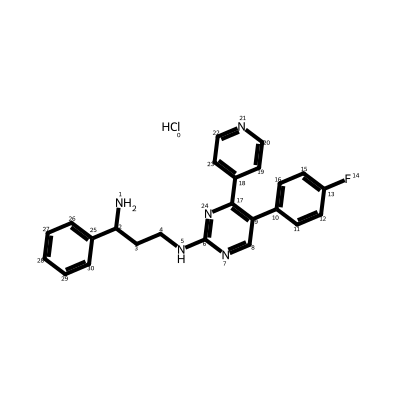 Cl.NC(CCNc1ncc(-c2ccc(F)cc2)c(-c2ccncc2)n1)c1ccccc1